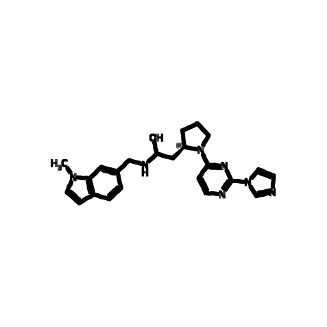 Cn1ccc2ccc(CNC(O)C[C@H]3CCCN3c3ccnc(-n4ccnc4)n3)cc21